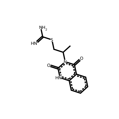 CC(CSC(=N)N)n1c(=O)[nH]c2ccccc2c1=O